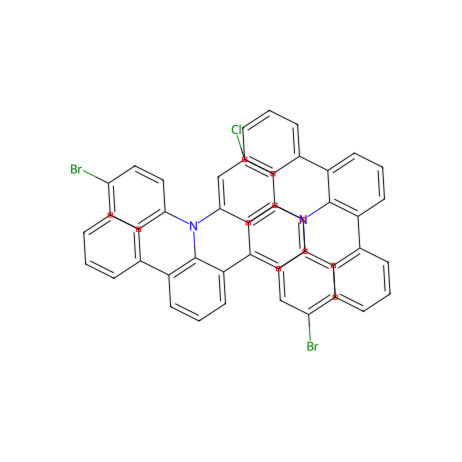 Clc1cc(N(c2ccc(Br)cc2)c2c(-c3ccccc3)cccc2-c2ccccc2)cc(N(c2ccc(Br)cc2)c2c(-c3ccccc3)cccc2-c2ccccc2)c1